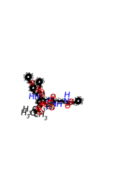 CC(C)(C)C(=O)OCOC(=O)[C@H](CNC(=O)[C@H](CCCCNC(=O)OCc1ccccc1)NS(C)(=O)=O)CC1(C(=O)N[C@@H](Cc2ccc(OCc3ccccc3)cc2)C(=O)OCc2ccccc2)CCCC1